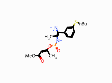 CCCCSc1cccc(/C(N)=C(/C)N[PH](=O)O/C(C)=C/C(=O)OC)c1